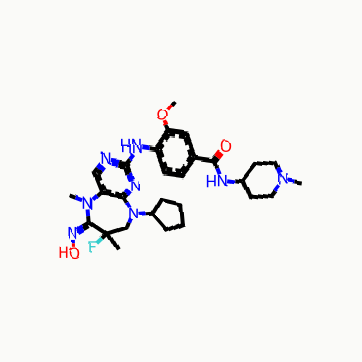 COc1cc(C(=O)NC2CCN(C)CC2)ccc1Nc1ncc2c(n1)N(C1CCCC1)CC(C)(F)/C(=N\O)N2C